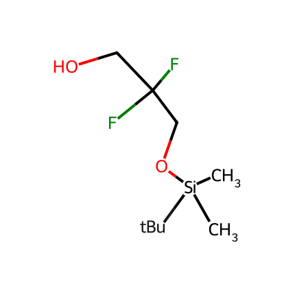 CC(C)(C)[Si](C)(C)OCC(F)(F)CO